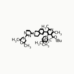 Cc1nc(C)c([C@H](OC(C)(C)C)C(=O)O)c(N2CCC(C)(C)CC2)c1-c1ccc2c(c1)CCN(c1ccnc(N3C[C@@H](C)O[C@@H](C)C3)n1)C2